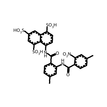 Cc1ccc(C(=O)Nc2ccc(S(=O)(=O)O)c3cc(S(=O)(=O)O)cc(S(=O)(=O)O)c23)c(NC(=O)c2ccc(C)cc2[N+](=O)[O-])c1